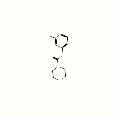 O=C(Oc1cccc(F)c1)N1CCOCC1